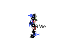 COc1cc2c(Oc3ccc4[nH]c(C)cc4c3F)ncnc2cc1OCC1CC(NC2CCCC2)C1